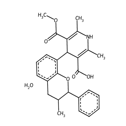 COC(=O)C1=C(C)NC(C)=C(C(=O)O)C1c1cccc2c1OC(c1ccccc1)C(C)C2.O